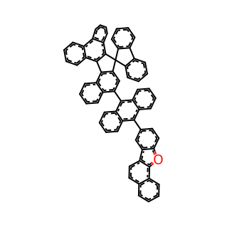 c1ccc2c(c1)-c1ccccc1C21c2cc(-c3c4ccccc4c(-c4ccc5oc6c7ccccc7ccc6c5c4)c4ccccc34)c3ccccc3c2-c2c1c1ccccc1c1ccccc21